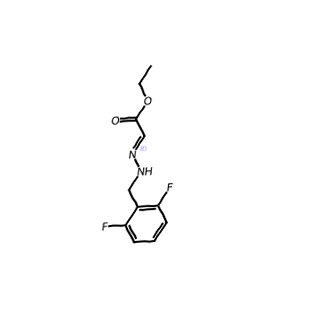 CCOC(=O)/C=N/NCc1c(F)cccc1F